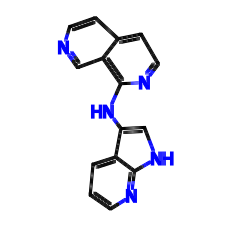 c1cnc2[nH]cc(Nc3nccc4ccncc34)c2c1